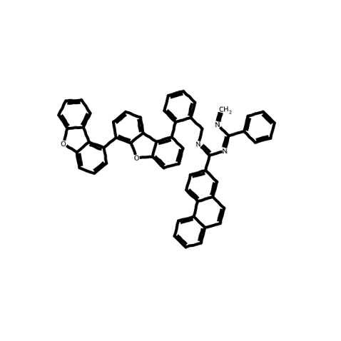 C=N/C(=N\C(=N/Cc1ccccc1-c1cccc2oc3c(-c4cccc5oc6ccccc6c45)cccc3c12)c1ccc2c(ccc3ccccc32)c1)c1ccccc1